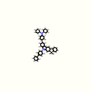 CC1(C)c2ccccc2-c2cc3c4cc(-c5ccc(N(c6ccccc6)c6ccccc6)cc5)ccc4n(-c4ccc(-c5ccccc5)cc4)c3cc21